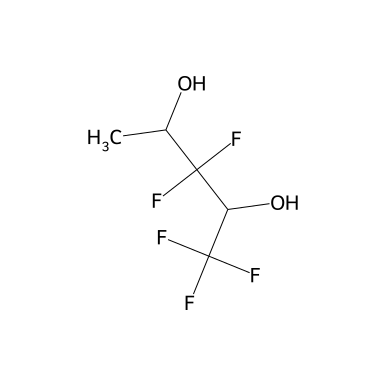 CC(O)C(F)(F)C(O)C(F)(F)F